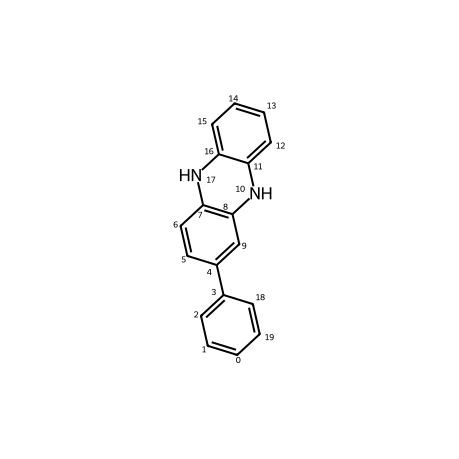 c1ccc(-c2ccc3c(c2)Nc2ccccc2N3)cc1